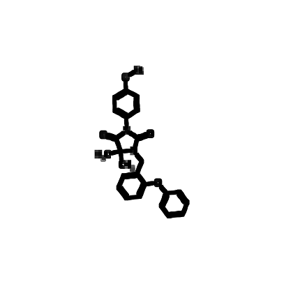 CCOc1ccc(N2C(=O)N(Cc3ccccc3Oc3ccccc3)C(C)(C)C2=O)cc1